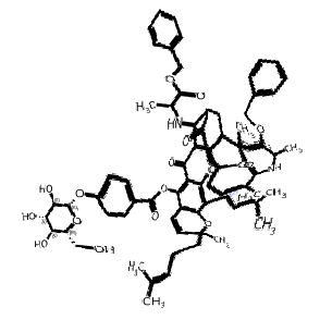 CC(C)=CCCC1(C)C=Cc2c(c(CC=C(C)C)c3c(c2OC(=O)c2ccc(O[C@@H]4O[C@H](CO)[C@@H](O)[C@H](O)[C@H]4O)cc2)C(=O)C2C(NC(C)C(=O)OCc4ccccc4)C4CC5C(C)(C)OC(C/C=C(/C)C(=O)NC(C)C(=O)OCc6ccccc6)(C4=O)C25O3)O1